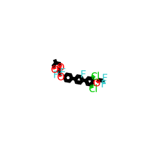 CC1COC(C(F)(F)OC2CCC(c3ccc(-c4cc(Cl)c(OC=C(F)F)c(Cl)c4)c(F)c3)CC2)OC1